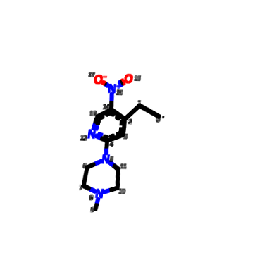 [CH2]Cc1cc(N2CCN(C)CC2)ncc1[N+](=O)[O-]